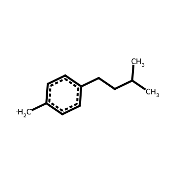 [CH2]c1ccc(CCC(C)C)cc1